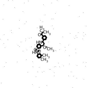 CCOC1CC(c2cccc(C(=O)C(C)C)c2)Nc2ccc(S(=O)(=O)Nc3ccc(C)c(C)c3)cc21